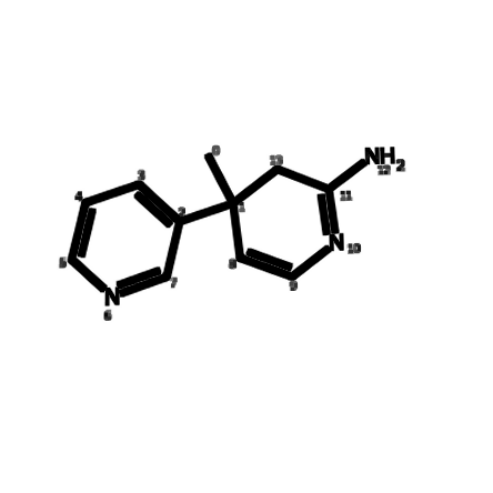 CC1(c2cccnc2)C=CN=C(N)C1